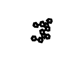 c1ccc(-c2cccc(-n3c4ccccc4c4c(-c5cccc6c5c5cc(-c7ccccc7)ccc5n6-c5ccccc5)cccc43)c2)cc1